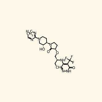 C/C=N\C(=N/C)N1CC[C@@H](N2CC[C@@H](OC[C@H](CC)Nc3cn[nH]c(=O)c3C(F)(F)F)C2=O)[C@H](O)C1